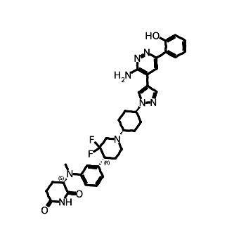 CN(c1cccc([C@H]2CCN([C@H]3CC[C@H](n4cc(-c5cc(-c6ccccc6O)nnc5N)cn4)CC3)CC2(F)F)c1)[C@H]1CCC(=O)NC1=O